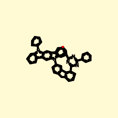 c1ccc(-c2nc(-c3ccccc3)nc(-c3cccc4c3-c3cc(-n5c6ccccc6c6cc7c(cc65)c5ccccc5n7-c5ccccc5)ccc3C4)n2)cc1